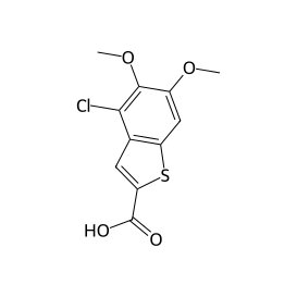 COc1cc2sc(C(=O)O)cc2c(Cl)c1OC